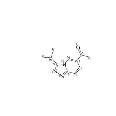 CC(=O)c1ccc2nnc(C(C)C)n2c1